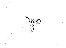 CCCC[C@@H]1C2CC(C#N)C(C[C@H]1c1ccccc1)N2C